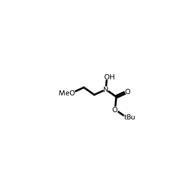 COCCN(O)C(=O)OC(C)(C)C